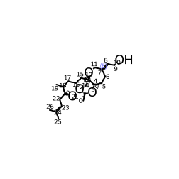 CC(=O)O[C@@H]1CC/C(=C\CO)CO[C@@]1(C)CCCC(C)C(=O)CC=C(C)C